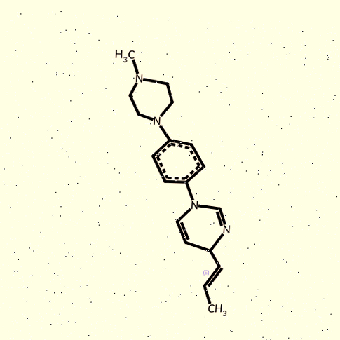 C/C=C/C1C=CN(c2ccc(N3CCN(C)CC3)cc2)C=N1